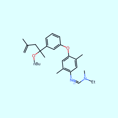 C=C(C)CC(C)(OCCCC)c1cccc(Oc2cc(C)c(/N=C\N(C)CC)cc2C)c1